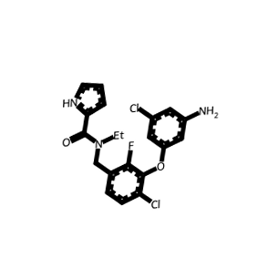 CCN(Cc1ccc(Cl)c(Oc2cc(N)cc(Cl)c2)c1F)C(=O)c1ccc[nH]1